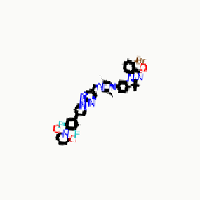 C[C@@H]1CN(c2ccc3c(c2)-n2c(nc(=O)c4c(Br)cccc42)C3(C)C)[C@@H](C)CN1Cc1cnc(N2CCC(c3cc(F)c(N4C(=O)CCCC4=O)c(F)c3)CC2)nc1